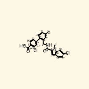 Cn1c(C(=O)NCc2cc(F)ccc2-c2ccc(C(=O)O)c(Cl)c2)cc2ccc(Cl)cc21